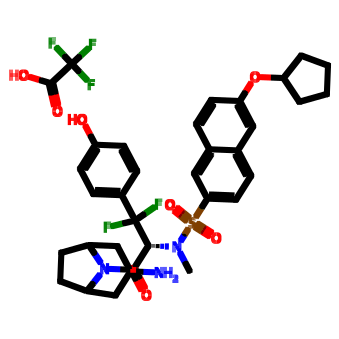 CN([C@H](C(=O)N1C2CCC1CC(N)C2)C(F)(F)c1ccc(O)cc1)S(=O)(=O)c1ccc2cc(OC3CCCC3)ccc2c1.O=C(O)C(F)(F)F